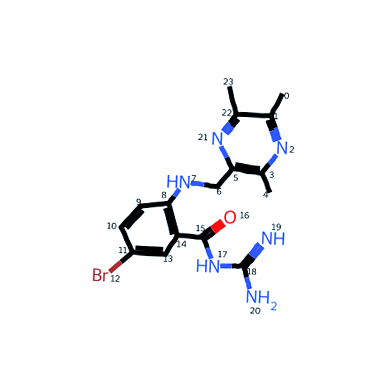 Cc1nc(C)c(CNc2ccc(Br)cc2C(=O)NC(=N)N)nc1C